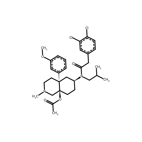 COc1cccc([C@@]23CCN(C)C[C@@]2(OC(C)=O)CC[C@H](N(CC(C)C)C(=O)Cc2ccc(Cl)c(Cl)c2)C3)c1